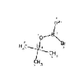 CCCB(Br)O[PH](C)(C)C